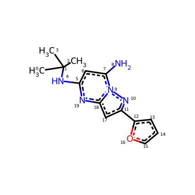 CC(C)(C)Nc1cc(N)n2nc(-c3ccco3)cc2n1